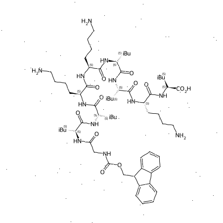 CC[C@H](C)[C@H](NC(=O)[C@H](CCCCN)NC(=O)[C@@H](NC(=O)[C@@H](NC(=O)[C@H](CCCCN)NC(=O)[C@H](CCCCN)NC(=O)[C@@H](NC(=O)[C@@H](NC(=O)CNC(=O)OCC1c2ccccc2-c2ccccc21)[C@@H](C)CC)[C@@H](C)CC)[C@@H](C)CC)[C@@H](C)CC)C(=O)O